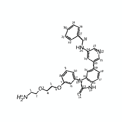 NCCOCCOc1cccc(-n2c(=O)[nH]c3ccc(-c4cncc(NCc5ccccc5)c4)cc32)c1